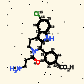 NCCC(=O)N1CCc2c([nH]c3ccc(Cl)cc23)C1c1ccc(C(=O)O)cc1